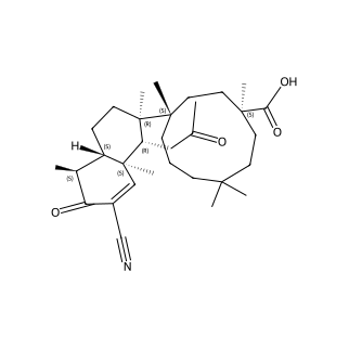 CC(=O)C[C@@H]1[C@@]2(C)C=C(C#N)C(=O)[C@@H](C)[C@@H]2CC[C@@]1(C)[C@@]1(C)CCCC(C)(C)CC[C@](C)(C(=O)O)CC1